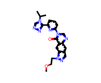 COCCn1ncc2cc3ncn(-c4cccc(-c5nncn5C(C)C)n4)c(=O)c3cc21